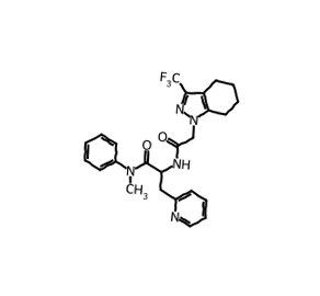 CN(C(=O)C(Cc1ccccn1)NC(=O)Cn1nc(C(F)(F)F)c2c1CCCC2)c1ccccc1